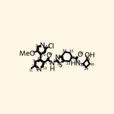 COc1cnc(Cl)cc1-c1cc(C)ncc1C(=O)Nc1nc2c(s1)C[C@H](C(=O)N[C@H]1CC[C@@H]1O)CC2